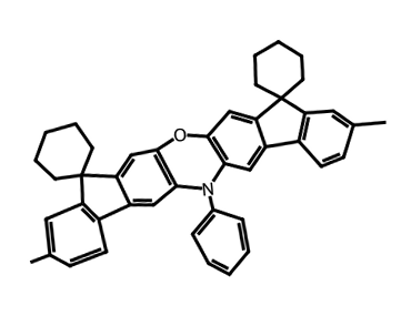 Cc1ccc2c(c1)C1(CCCCC1)c1cc3c(cc1-2)N(c1ccccc1)c1cc2c(cc1O3)C1(CCCCC1)c1cc(C)ccc1-2